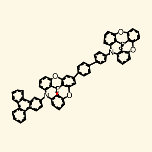 S=P12c3c4cccc3Oc3cccc(c31)N(c1ccc(-c3ccc(-c5cc6c7c(c5)Oc5cccc8c5P7(=S)c5c(cccc5N8c5ccc7c8ccccc8c8ccccc8c7c5)O6)cc3)cc1)c1cccc(c12)O4